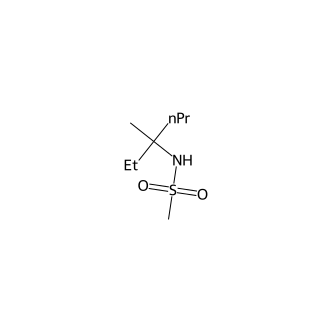 CCCC(C)(CC)NS(C)(=O)=O